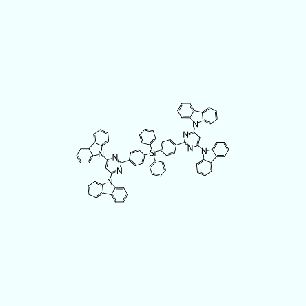 c1ccc([Si](c2ccccc2)(c2ccc(-c3nc(-n4c5ccccc5c5ccccc54)cc(-n4c5ccccc5c5ccccc54)n3)cc2)c2ccc(-c3nc(-n4c5ccccc5c5ccccc54)cc(-n4c5ccccc5c5ccccc54)n3)cc2)cc1